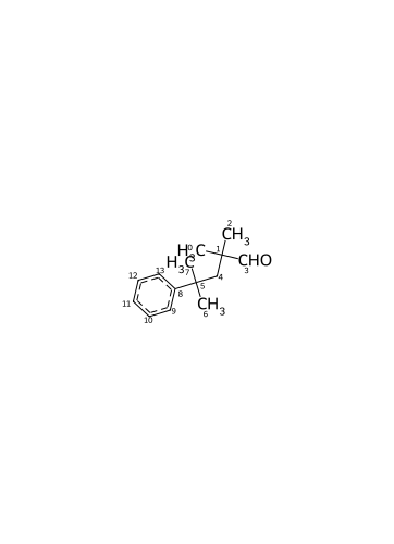 CC(C)(C=O)CC(C)(C)c1ccccc1